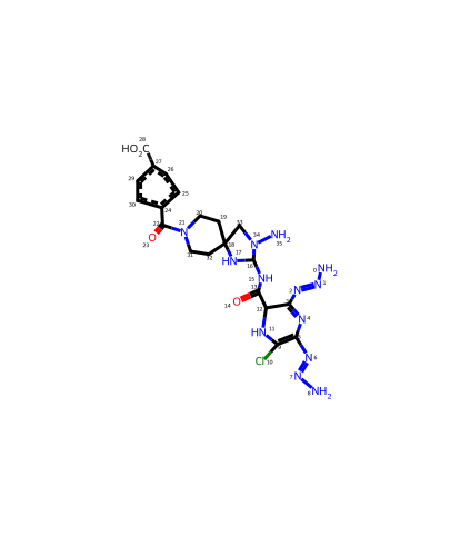 NN=NC1=NC(N=NN)=C(Cl)NC1C(=O)NC1NC2(CCN(C(=O)c3ccc(C(=O)O)cc3)CC2)CN1N